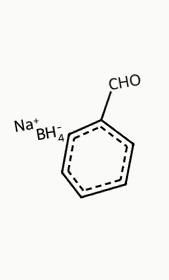 O=Cc1ccccc1.[BH4-].[Na+]